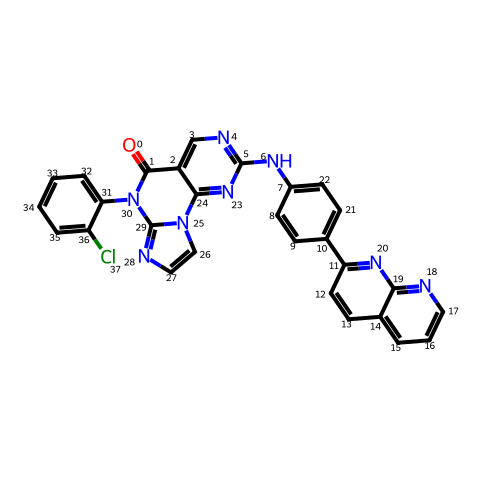 O=c1c2cnc(Nc3ccc(-c4ccc5cccnc5n4)cc3)nc2n2ccnc2n1-c1ccccc1Cl